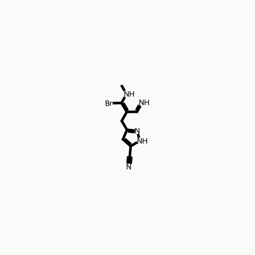 CN/C(Br)=C(\C=N)Cc1cc(C#N)[nH]n1